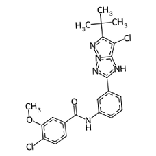 COc1cc(C(=O)Nc2cccc(-c3nn4nc(C(C)(C)C)c(Cl)c4[nH]3)c2)ccc1Cl